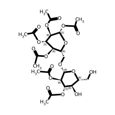 CC(=O)O[C@@H]1O[C@H](CO[C@@H]2O[C@H](CO)[C@@H](O)[C@H](OC(C)=O)[C@H]2OC(C)=O)[C@@H](OC(C)=O)[C@H](OC(C)=O)[C@H]1OC(C)=O